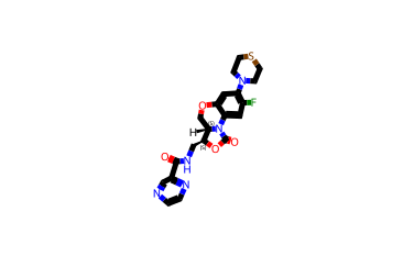 O=C(NC[C@@H]1OC(=O)N2c3cc(F)c(N4CCSCC4)cc3OC[C@@H]12)c1cnccn1